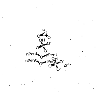 CCCCCOCCCCC.CCCCCOCCCCC.O=P([O-])([O-])O.O=P([O-])([O-])O.O=[SH2]=O.[Zr+4]